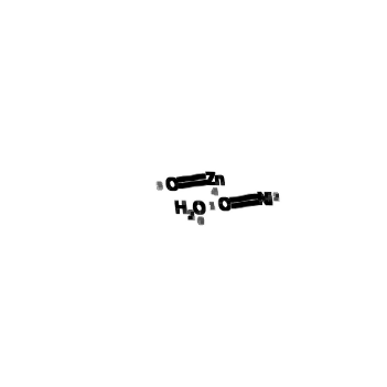 O.[O]=[Ni].[O]=[Zn]